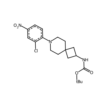 CC(C)(C)OC(=O)NC1CC2(CCN(c3ccc([N+](=O)[O-])cc3Cl)CC2)C1